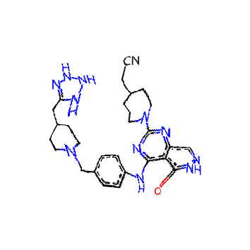 N#CCC1CCN(c2nc(Nc3ccc(CN4CCC(CC5=NNNN5)CC4)cc3)c3c(=O)[nH]ncc3n2)CC1